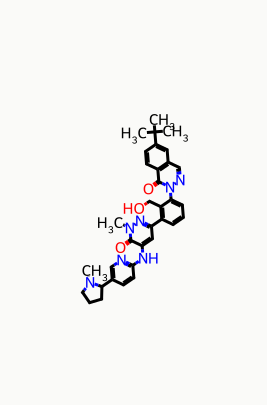 CN1CCCC1c1ccc(Nc2cc(-c3cccc(-n4ncc5cc(C(C)(C)C)ccc5c4=O)c3CO)nn(C)c2=O)nc1